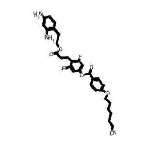 N#CCCCCCCOc1ccc(C(=O)Oc2cc(F)c(C=CC(=O)OCCc3ccc(N)cc3N)c(F)c2)cc1